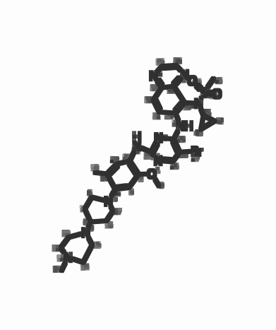 COc1cc(N2CCC(N3CCN(C)CC3)CC2)c(C)cc1Nc1ncc(Br)c(Nc2ccc3nccnc3c2N(C2CC2)S(C)(=O)=O)n1